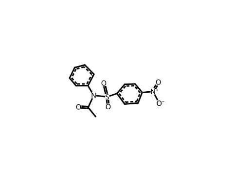 CC(=O)N(c1ccccc1)S(=O)(=O)c1ccc([N+](=O)[O-])cc1